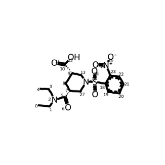 CCN(CC)C(=O)[C@@H]1C[C@H](C(=O)O)CN(S(=O)(=O)c2ccccc2[N+](=O)[O-])C1